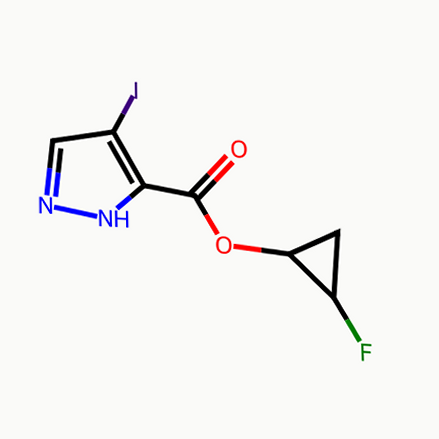 O=C(OC1CC1F)c1[nH]ncc1I